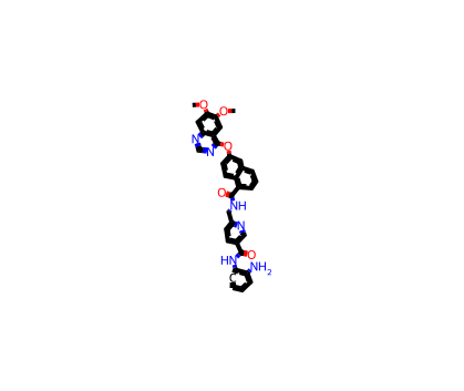 COc1cc2ncnc(Oc3ccc4c(C(=O)NCc5ccc(C(=O)Nc6ccccc6N)cn5)cccc4c3)c2cc1OC